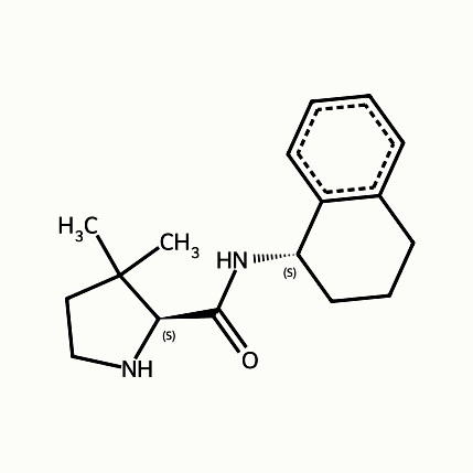 CC1(C)CCN[C@@H]1C(=O)N[C@H]1CCCc2ccccc21